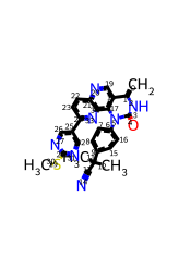 C=C1NC(=O)N(c2ccc(C(C)(C)C#N)cc2)c2c1cnc1ccc(-c3cnc(SC)nc3)nc21